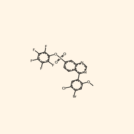 COc1cc(Br)c(Cl)cc1-c1ncnc2cc(S(=O)(=O)Oc3c(F)c(F)c(F)c(F)c3F)ccc12